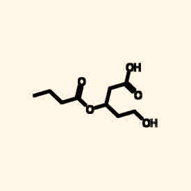 CCCC(=O)OC(CCO)CC(=O)O